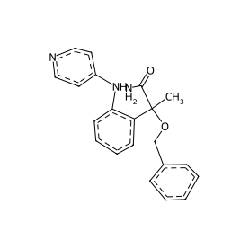 CC(OCc1ccccc1)(C(N)=O)c1ccccc1Nc1ccncc1